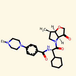 CCN1CCN(c2ccc(C(=O)N[C@H](C(=O)N3C[C@@H](C)[C@H]4OCC(=O)[C@H]43)C3CCCCC3)cc2)CC1